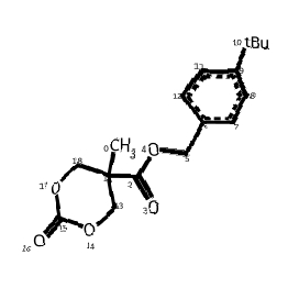 CC1(C(=O)OCc2ccc(C(C)(C)C)cc2)COC(=O)OC1